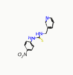 O=[N+]([O-])c1ccc(NC(=S)NCc2cccnc2)cc1